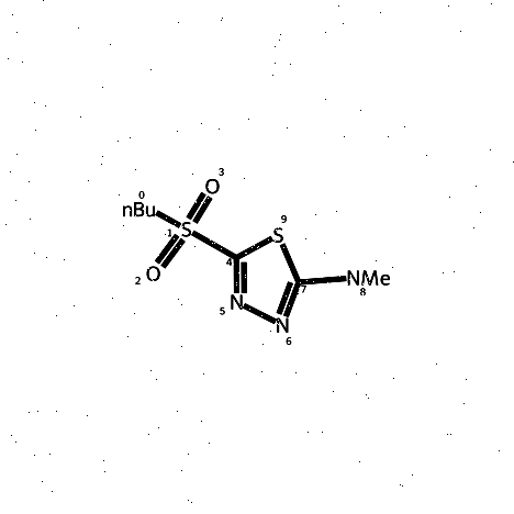 CCCCS(=O)(=O)c1nnc(NC)s1